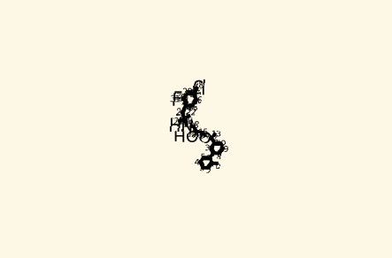 Cc1ccccc1-c1cccc(C(C)OC[C@H](O)CNC(C)(C)Cc2ccc(Cl)cc2F)c1